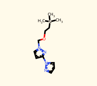 C[Si](C)(C)CCOCn1ccc(-n2cccn2)n1